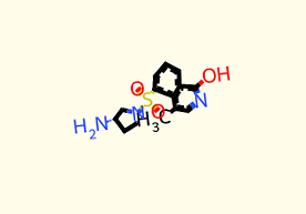 Cc1cnc(O)c2cccc(S(=O)(=O)N3CC[C@H](N)C3)c12